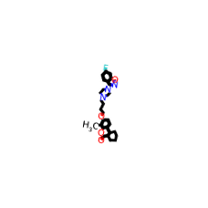 Cc1c(OCCCCN2CCN(c3noc4cc(F)ccc34)CC2)ccc2c3c(c(=O)oc12)CCCC3